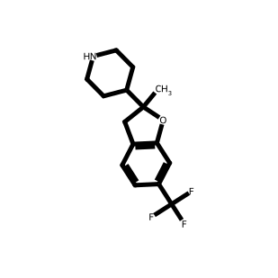 CC1(C2CCNCC2)Cc2ccc(C(F)(F)F)cc2O1